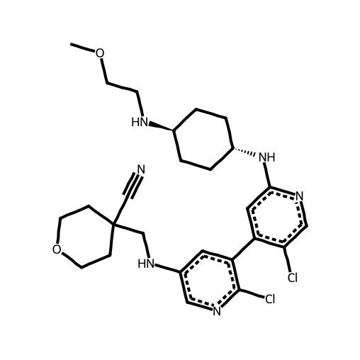 COCCN[C@H]1CC[C@H](Nc2cc(-c3cc(NCC4(C#N)CCOCC4)cnc3Cl)c(Cl)cn2)CC1